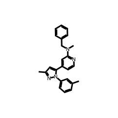 Cc1cccc(-n2nc(C)cc2-c2ccnc(N(C)Cc3ccccc3)c2)c1